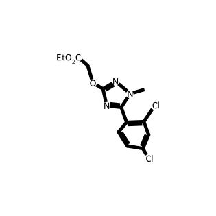 CCOC(=O)COc1nc(-c2ccc(Cl)cc2Cl)n(C)n1